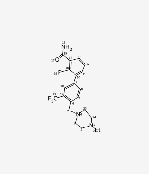 CCN1CCN(Cc2ccc(-c3cccc(C(N)=O)c3F)cc2C(F)(F)F)CC1